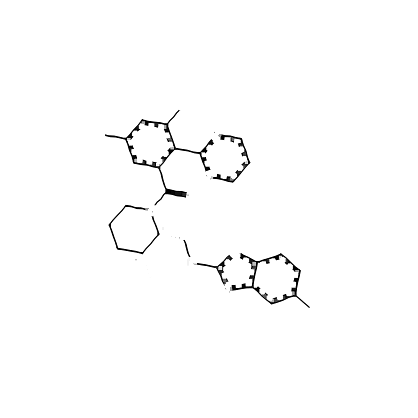 C[C@@H]1CCCN(C(=O)c2cc(F)cc(F)c2-c2ncccn2)[C@@H]1CNc1nc2cc(Cl)ccc2o1